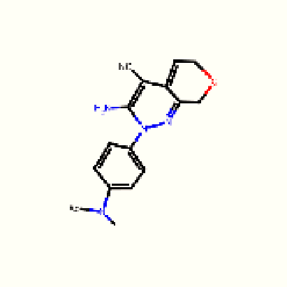 CC(=O)N(C)c1ccc(N2N=C3COCC=C3C(C#N)=C2N)cc1